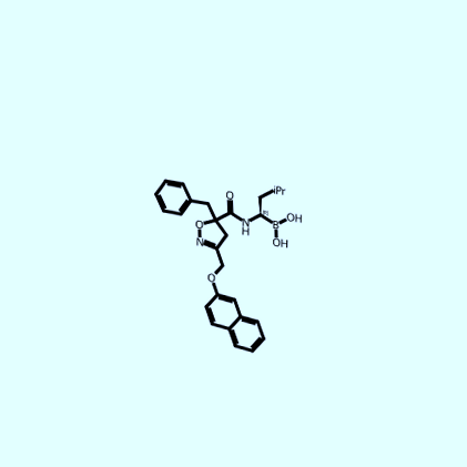 CC(C)C[C@H](NC(=O)C1(Cc2ccccc2)CC(COc2ccc3ccccc3c2)=NO1)B(O)O